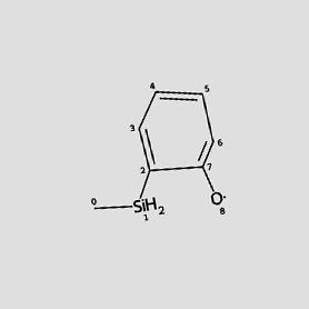 C[SiH2]c1ccccc1[O]